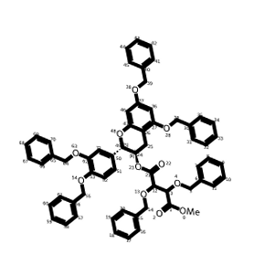 COC(=O)C(OCc1ccccc1)C(OCc1ccccc1)C(=O)O[C@@H]1Cc2c(OCc3ccccc3)cc(OCc3ccccc3)cc2O[C@H]1c1ccc(OCc2ccccc2)c(OCc2ccccc2)c1